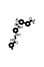 COc1ccc(-c2cccc(C(=O)N(C)C)c2)cc1[S+]([O-])Nc1cccc(NCCNC(=O)c2cccc(C)c2)c1